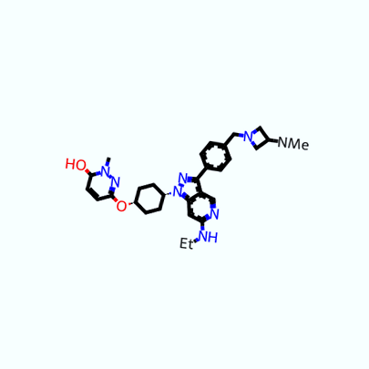 CCNc1cc2c(cn1)c(-c1ccc(CN3CC(NC)C3)cc1)nn2[C@H]1CC[C@@H](OC2=NN(C)C(O)C=C2)CC1